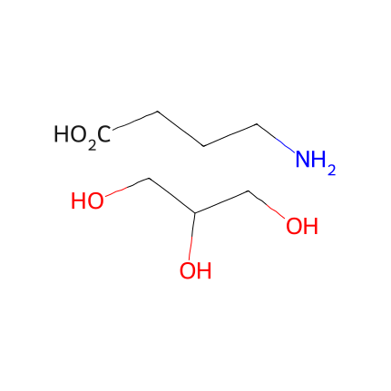 NCCCC(=O)O.OCC(O)CO